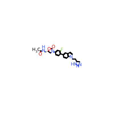 CC(=O)NC[C@H]1CN(c2ccc(-c3ccc4c(ccn4CCC4CN=NN4)c3)c(F)c2)C(=O)O1